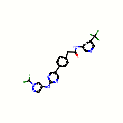 O=C(Cc1ccc(-c2cnc(Nc3cnn(C(F)F)c3)nc2)cc1)Nc1cncc(C(F)(F)F)c1